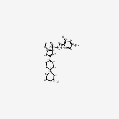 CCc1sc(N2CCC(N3CCC[C@@H](C)C3)CC2)nc1C(=O)NCc1ncc(F)cc1F